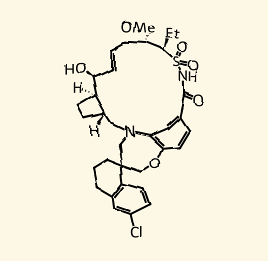 CC[C@@H]1[C@@H](OC)C/C=C/[C@H](O)[C@@H]2CC[C@H]2CN2C[C@@]3(CCCc4cc(Cl)ccc43)COc3ccc(cc32)C(=O)NS1(=O)=O